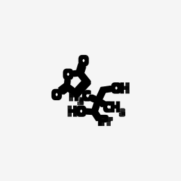 CC(C)C(O)C(C)(C)CO.O=C1C=CC(=O)O1